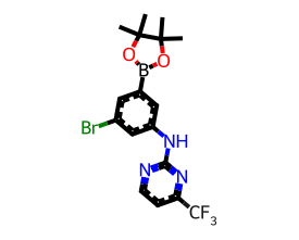 CC1(C)OB(c2cc(Br)cc(Nc3nccc(C(F)(F)F)n3)c2)OC1(C)C